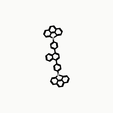 c1ccc2c(-c3ccc(-n4c5cccc6ccc7cccc4c7c65)cc3)ccc(-c3ccc(-n4c5cccc6ccc7cccc4c7c65)cc3)c2c1